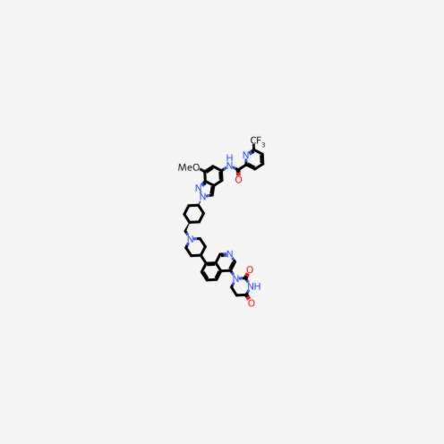 COc1cc(NC(=O)c2cccc(C(F)(F)F)n2)cc2cn([C@H]3CC[C@H](CN4CCC(c5cccc6c(N7CCC(=O)NC7=O)cncc56)CC4)CC3)nc12